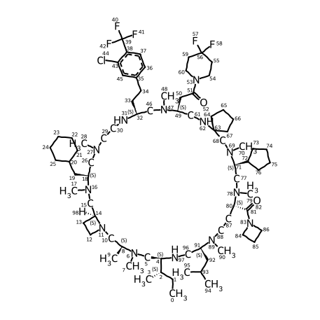 CC[C@H](C)[C@H]1CN(C)[C@@H](C)CN2CC[C@H]2CN(C)[C@@H](CC2CCCCC2)CN(C)CCN[C@@H](CCc2ccc(C(F)(F)F)c(Cl)c2)CN(C)[C@@H](CC(=O)N2CCC(F)(F)CC2)CNC2(CCCC2)CN(C)[C@@H](C2CCCC2)CN(C)[C@H](C(=O)N2CCC2)CCN(C)[C@@H](CC(C)C)CN1